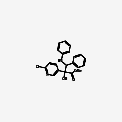 COC(=O)C(O)(c1ccc(Cl)nc1)C(Nc1ccccc1)c1ccccc1